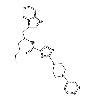 CCCCC(Cc1c[nH]c2ccccc12)NC(=O)c1cnc(N2CCN(c3ccnnc3)CC2)s1